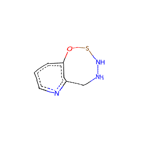 c1cnc2c(c1)OSNNC2